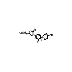 CC(=O)NCC1CN(C2=CC(F)C(F)(N3CCC(C#N)CC3)C=C2)C(=O)O1